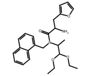 CCOC(OCC)C(C)N(Cc1cccc2ccccc12)C(=O)C(N)Cc1ccco1